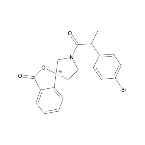 CC(C(=O)N1CC[C@@]2(C1)OC(=O)c1ccccc12)c1ccc(Br)cc1